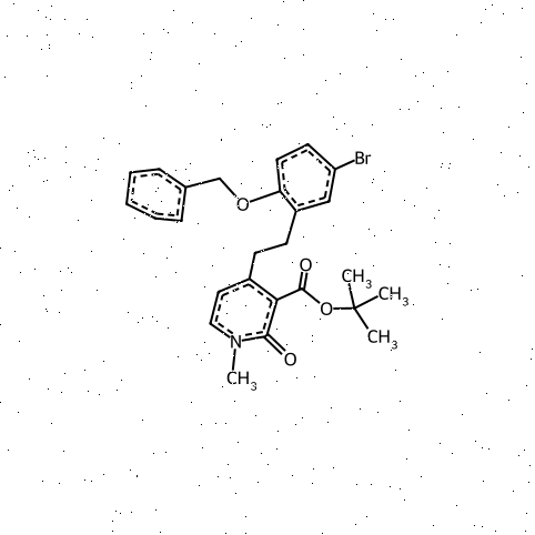 Cn1ccc(CCc2cc(Br)ccc2OCc2ccccc2)c(C(=O)OC(C)(C)C)c1=O